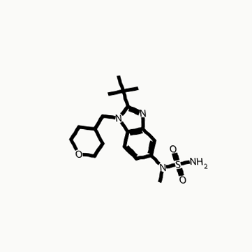 CN(c1ccc2c(c1)nc(C(C)(C)C)n2CC1CCOCC1)S(N)(=O)=O